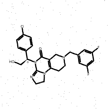 O=C1C2=C(CCN(Cc3cc(F)cc(F)c3)C2)N2CCN=C2N1[C@@H](CO)c1ccc(Cl)cc1